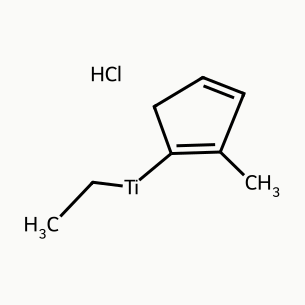 C[CH2][Ti][C]1=C(C)C=CC1.Cl